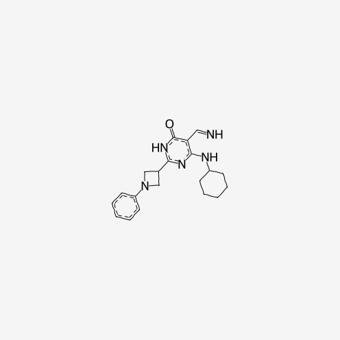 N=Cc1c(NC2CCCCC2)nc(C2CN(c3ccccc3)C2)[nH]c1=O